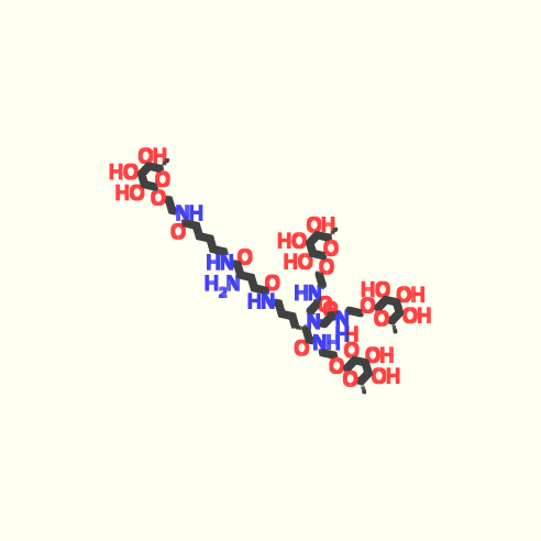 C[C@@H]1O[C@@H](OCCNC(=O)CCCCCNC(=O)[C@@H](N)CCC(=O)NCCCC[C@@H](C(=O)NCCO[C@@H]2O[C@@H](C)[C@@H](O)[C@@H](O)[C@@H]2O)N(CC(=O)NCCO[C@@H]2O[C@@H](C)[C@@H](O)[C@@H](O)[C@@H]2O)CC(=O)NCCO[C@@H]2O[C@@H](C)[C@@H](O)[C@@H](O)[C@@H]2O)[C@@H](O)[C@H](O)[C@@H]1O